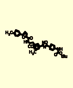 Cc1ccc(-c2ccc(C(=O)N[C@H](Cc3cc(C)cc(-c4noc(-c5ccc(NC(=O)OC(C)(C)C)cc5)n4)c3)C(=O)O)o2)cc1